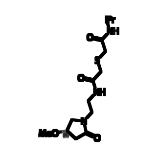 CO[C@H]1CC(=O)N(CCNC(=O)CSCC(=O)NC(C)C)C1